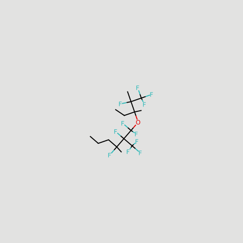 CCCC(C)(F)C(F)(C(F)(F)F)C(F)(F)OC(C)(CC)C(C)(F)C(F)(F)F